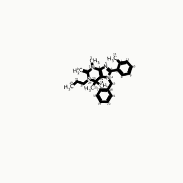 C=C1N(C)c2nc(-c3ccccc3C)n(Cc3ccccc3)c2C(C)(C)N1CCC